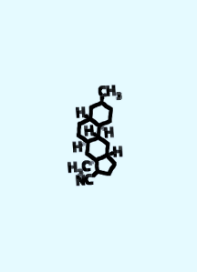 C[C@H]1CC[C@@H]2[C@H](CC[C@@H]3C[C@]4(C)C(C#N)CC[C@H]4C[C@H]32)C1